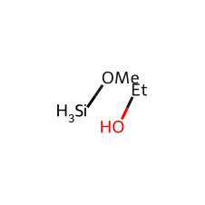 CCO.CO[SiH3]